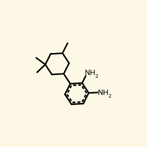 CC1CC(c2cccc(N)c2N)CC(C)(C)C1